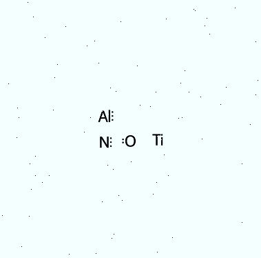 [Al].[N].[O].[Ti]